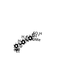 CCS(=O)(=O)c1cccc(NC(=O)c2ccc(/N=N/c3cc(OC)c(NCS(=O)(=O)O)cc3C)cc2)c1